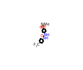 CNS(=O)(=O)c1ccc(NC(=O)Nc2ccc(C(F)(F)F)cc2)cc1